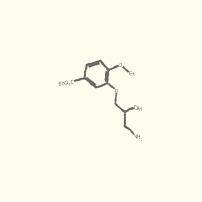 CCOC(=O)c1ccc(OCC)c(OCC(O)CN)c1